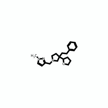 Cn1ccc(CN2CCC(CCc3ccccc3)(C3CCCO3)C2)n1